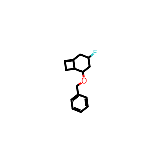 FC1CC2CCC2C(OCc2ccccc2)C1